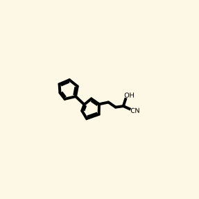 N#CC(O)CCc1cccc(-c2ccccc2)c1